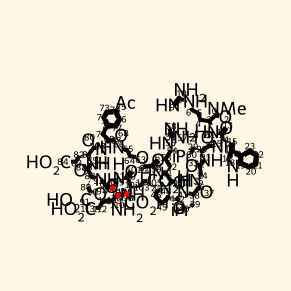 CNC(=O)C(CCCNC(=N)N)NC(=O)[C@H](Cc1c[nH]c2ccccc12)NC(=O)[C@H](CC(C)C)NC(=O)CNC(=O)[C@H](CC(C)C)NC(=O)[C@@H]1CCCN1C(=O)[C@H](CCCNC(=N)N)NC(=O)COCCNC(=O)C(Cc1ccc(C(C)=O)cc1)NC(=O)[C@@H](CCC(=O)O)NC(=O)[C@@H](CCC(=O)O)NC(=O)[C@@H](CCC(=O)O)NC(=O)[C@@H](CCC(=O)O)NC(=O)[C@H](N)CCC(=O)O